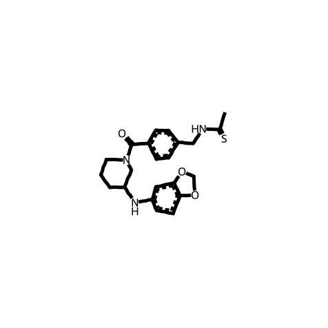 CC(=S)NCc1ccc(C(=O)N2CCCC(Nc3ccc4c(c3)OCO4)C2)cc1